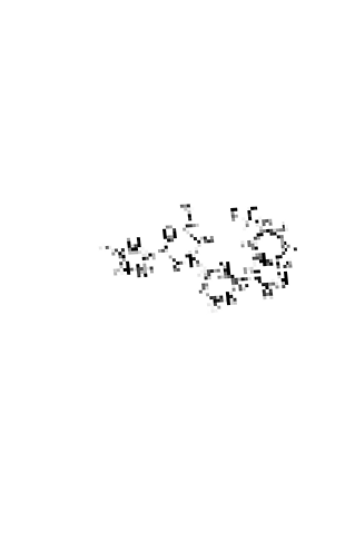 Cc1nnc([C@@H]2CN(c3ccnc(-c4cnc5ccc(C(F)(F)F)cn45)n3)C[C@H](C)O2)o1